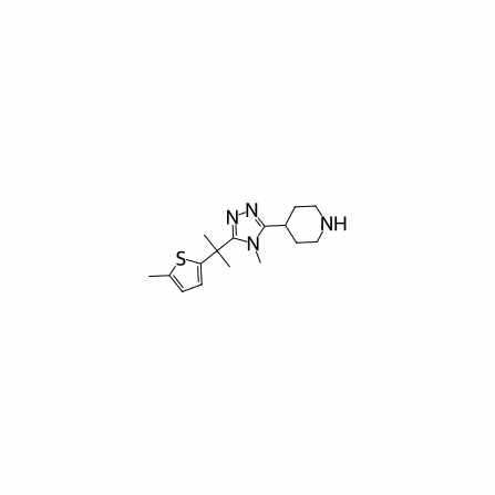 Cc1ccc(C(C)(C)c2nnc(C3CCNCC3)n2C)s1